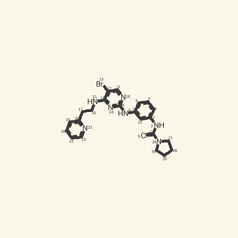 O=C(Nc1cccc(Nc2ncc(Br)c(NCCc3ccccn3)n2)c1)N1CCCC1